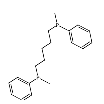 CP(CCCCCP(C)c1ccccc1)c1ccccc1